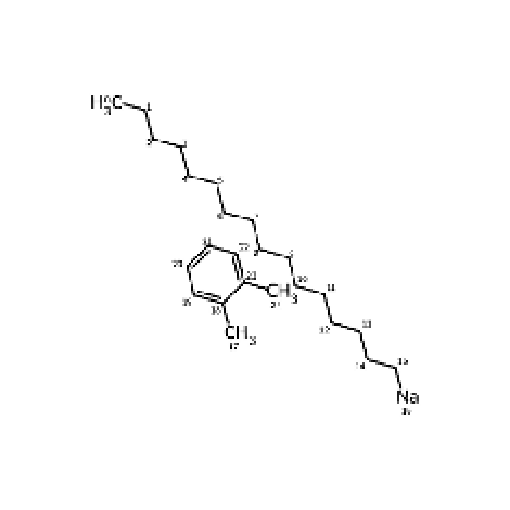 CCCCCCCCCCCCCCC[CH2][Na].Cc1ccccc1C